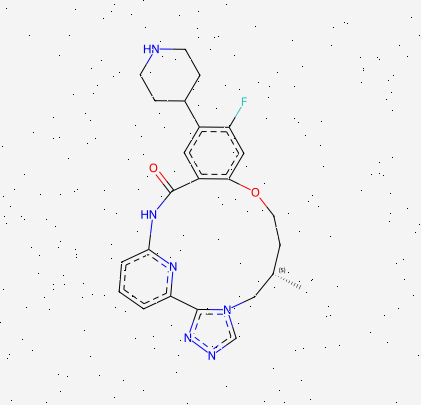 C[C@H]1CCOc2cc(F)c(C3CCNCC3)cc2C(=O)Nc2cccc(n2)-c2nncn2C1